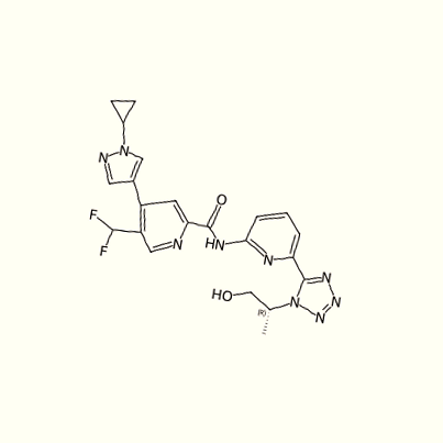 C[C@H](CO)n1nnnc1-c1cccc(NC(=O)c2cc(-c3cnn(C4CC4)c3)c(C(F)F)cn2)n1